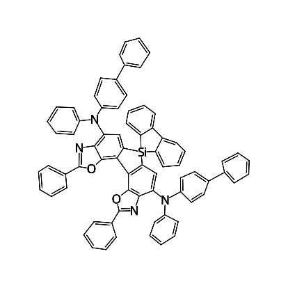 c1ccc(-c2ccc(N(c3ccccc3)c3cc4c(c5oc(-c6ccccc6)nc35)-c3c(cc(N(c5ccccc5)c5ccc(-c6ccccc6)cc5)c5nc(-c6ccccc6)oc35)[Si]43c4ccccc4-c4ccccc43)cc2)cc1